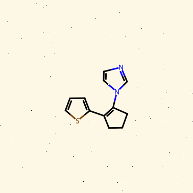 c1csc(C2=C(n3ccnc3)CCC2)c1